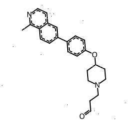 Cc1nccc2cc(-c3ccc(OC4CCN(CCC=O)CC4)cc3)ccc12